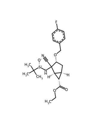 CCOC(=O)[C@H]1[C@@H]2C[C@@H](OCc3ccc(F)cc3)C(C#N)(N[S@@+]([O-])C(C)(C)C)[C@@H]21